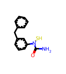 NC(=O)N(S)c1cccc(Cc2ccccc2)c1